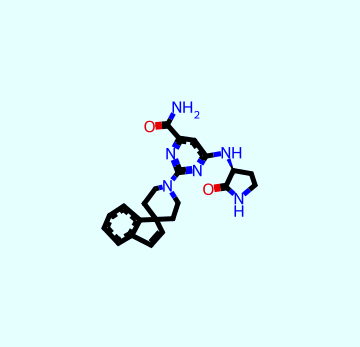 NC(=O)c1cc(N[C@H]2CCNC2=O)nc(N2CCC3(C=Cc4ccccc43)CC2)n1